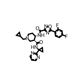 O=C(N[C@H]1CCN(CC2CC2)C[C@@H]1C(=O)NC1(c2ncccn2)CC1)c1noc(-c2ccc(F)cc2F)n1